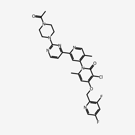 CC(=O)N1CCN(c2nccc(-c3cc(-n4c(C)cc(OCc5ncc(F)cc5F)c(Cl)c4=O)c(C)cn3)n2)CC1